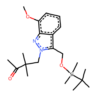 COc1cccc2c(CO[Si](C)(C)C(C)(C)C)n(CC(C)(C)C(C)=O)nc12